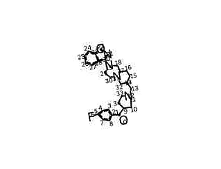 O=C(c1ccc(F)cc1)C1CCN(CC2CCC3CN(c4noc5ccccc45)CCN3C2)CC1